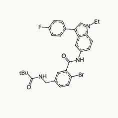 CCn1cc(-c2ccc(F)cc2)c2cc(NC(=O)c3cc(CNC(=O)C(C)(C)C)ccc3Br)ccc21